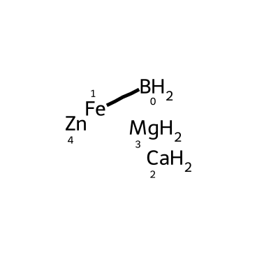 [BH2][Fe].[CaH2].[MgH2].[Zn]